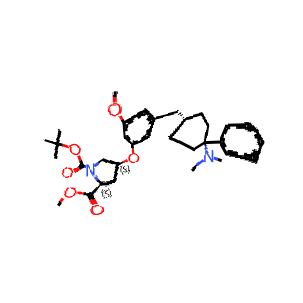 COC(=O)[C@@H]1C[C@H](Oc2cc(C[C@H]3CC[C@](c4ccccc4)(N(C)C)CC3)cc(OC)c2)CN1C(=O)OC(C)(C)C